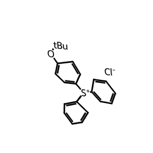 CC(C)(C)Oc1ccc([S+](c2ccccc2)c2ccccc2)cc1.[Cl-]